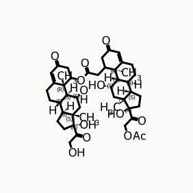 CC(=O)OCC(=O)[C@@]1(O)CC[C@H]2[C@@H]3CCC4=CC(=O)CC(CC(=O)OC5CC(=O)C=C6CC[C@@H]7[C@H]([C@@H](O)C[C@@]8(C)[C@H]7CC[C@]8(O)C(=O)CO)[C@]65C)[C@]4(C)[C@H]3[C@@H](O)C[C@@]21C